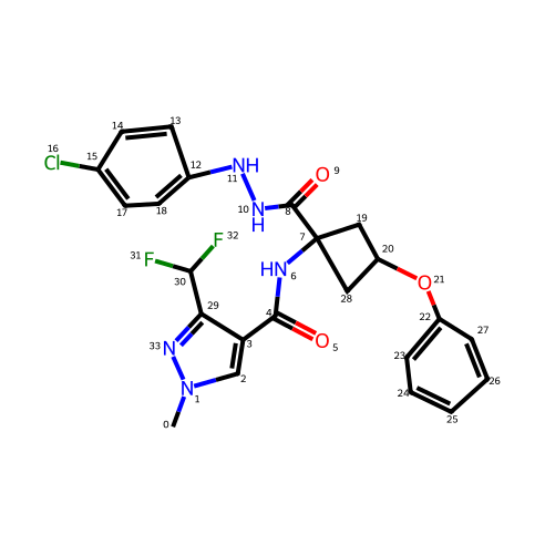 Cn1cc(C(=O)NC2(C(=O)NNc3ccc(Cl)cc3)CC(Oc3ccccc3)C2)c(C(F)F)n1